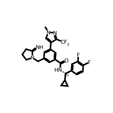 Cn1cc(-c2cc(CN3CCCC3=N)cc(C(=O)N[C@H](c3ccc(F)c(F)c3)C3CC3)c2)c(C(F)(F)F)n1